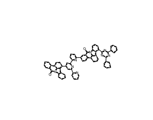 O=c1c2cc(-c3cccc(-c4cc(-c5ccc6c7ccccc7c(=O)n7c8ccccc8c5c67)cc(-c5ccccn5)n4)n3)ccc2c2cccc3c4c(-c5nc(-c6ccccc6)nc(-c6ccccc6)n5)cccc4n1c23